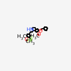 COc1cc2c(cc1OCc1ccccc1)CCNC2/C=C/c1cc(C)c(OC)c(C(F)(F)F)c1